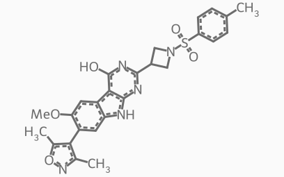 COc1cc2c(cc1-c1c(C)noc1C)[nH]c1nc(C3CN(S(=O)(=O)c4ccc(C)cc4)C3)nc(O)c12